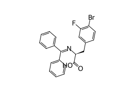 O=C(O)[C@H](Cc1ccc(Br)c(F)c1)N=C(c1ccccc1)c1ccccc1